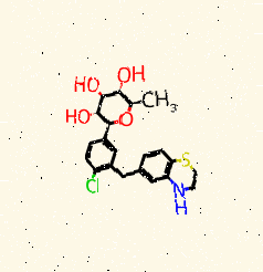 C[C@H]1O[C@@H](c2ccc(Cl)c(Cc3ccc4c(c3)NCCS4)c2)[C@H](O)[C@@H](O)[C@@H]1O